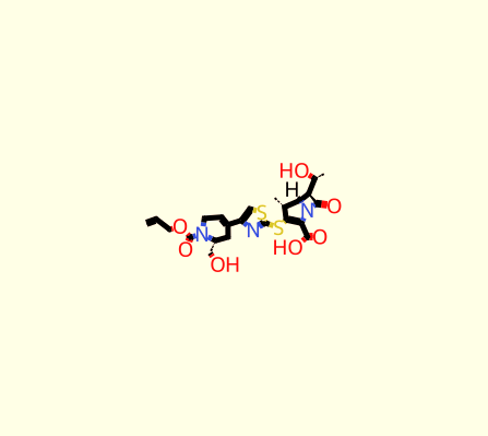 C=CCOC(=O)N1CC=C(c2csc(SC3=C(C(=O)O)N4C(=O)[C@H]([C@@H](C)O)[C@H]4[C@H]3C)n2)C[C@@H]1CO